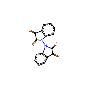 S=C1C(=S)N(N2C(=S)C(=S)c3ccccc32)c2ccccc21